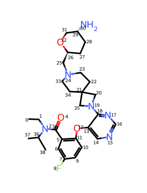 CCN(C(=O)c1cc(F)ccc1Oc1cncnc1N1CC2(CCN(C[C@@H]3CC[C@@H](N)CO3)CC2)C1)C(C)C